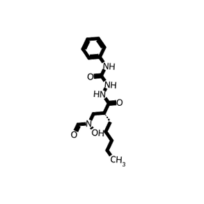 CCCCC[C@H](CN(O)C=O)C(=O)NNC(=O)Nc1ccccc1